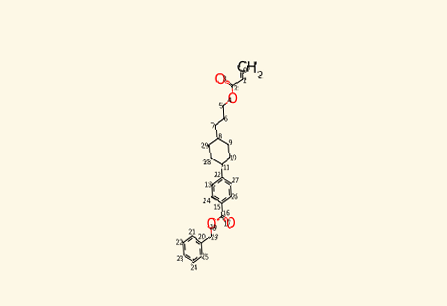 C=CC(=O)OCCCC1CCC(c2ccc(C(=O)OCc3ccccc3)cc2)CC1